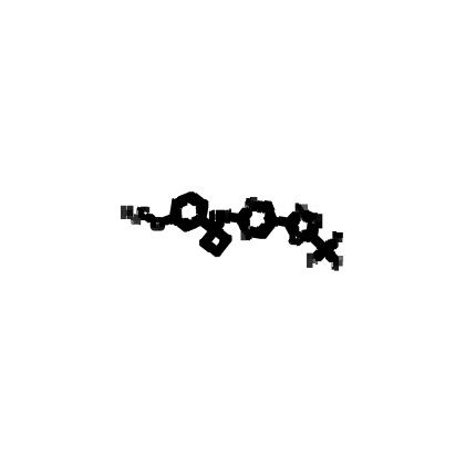 COc1cccc(C2(Nc3ncc(-c4nnc(C(F)(F)F)o4)cn3)CCC2)c1